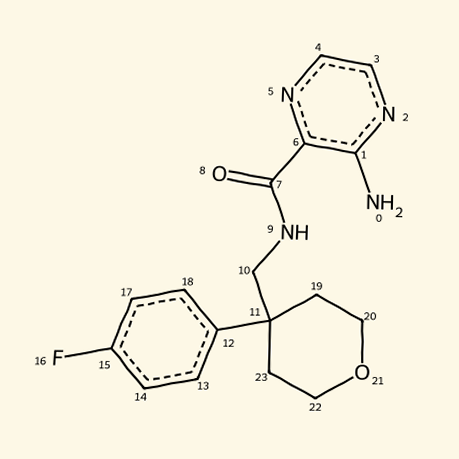 Nc1nccnc1C(=O)NCC1(c2ccc(F)cc2)CCOCC1